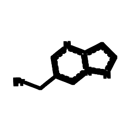 CC(C)Cc1cnc2ccnn2c1